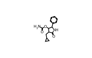 NC(=O)OC1C(CC2CC2)C(=O)NC1c1ccccc1